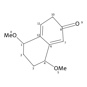 COC1CCC(OC)C2=CC(=O)CC=C21